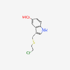 Oc1ccc2[nH]cc(CSCCCl)c2c1